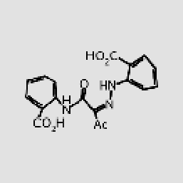 CC(=O)/C(=N/Nc1ccccc1C(=O)O)C(=O)Nc1ccccc1C(=O)O